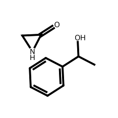 CC(O)c1ccccc1.O=C1CN1